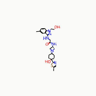 Cc1ccc2c(c1)c(NCC(=O)NC1CN(C3CCC(O)(c4ncc(C)s4)CC3)C1)nn2CCO